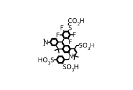 CN(C)c1ccc2c(c1)C(C)(C)c1cc3c(cc1=C2c1c(F)c(F)c(SCC(=O)O)c(F)c1F)C(CS(=O)(=O)O)=CC(C)(C)[N+]=3Cc1ccc(S(=O)(=O)O)cc1S(=O)(=O)O